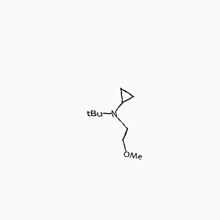 COCCN(C1CC1)C(C)(C)C